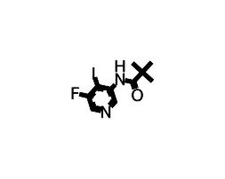 CC(C)(C)C(=O)Nc1cncc(F)c1I